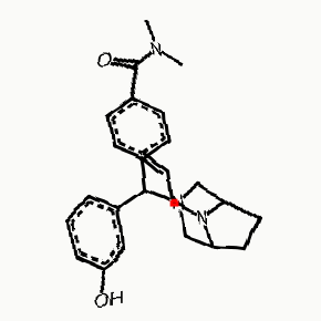 C=CCN1C2CCC1CN(C(c1ccc(C(=O)N(C)C)cc1)c1cccc(O)c1)C2